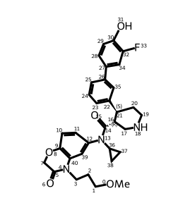 COCCCN1C(=O)COc2ccc(N(C(=O)[C@H]3CNCC[C@@H]3c3cccc(-c4ccc(O)c(F)c4)c3)C3CC3)cc21